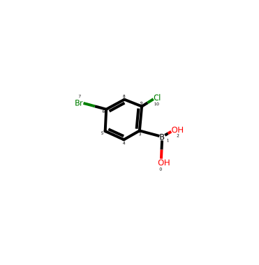 OB(O)c1ccc(Br)cc1Cl